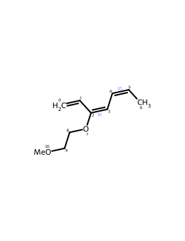 C=C/C(=C\C=C/C)OCCOC